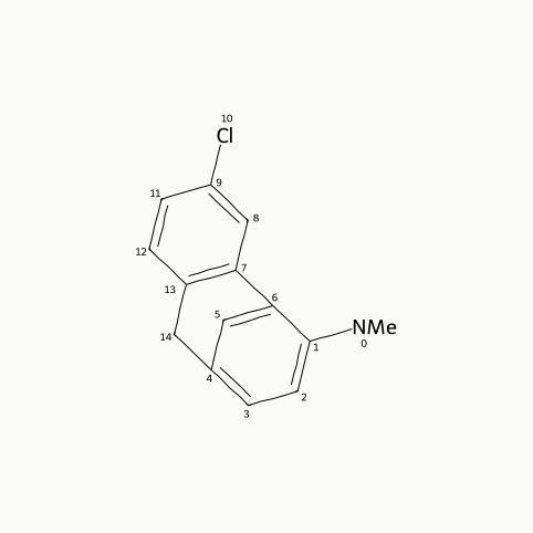 CNc1ccc2cc1-c1cc(Cl)ccc1C2